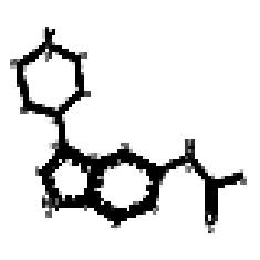 CC(=O)Nc1ccc2[nH]cc(C3CCNCC3)c2c1